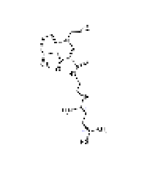 C=C1C=CC=C2C1C(=O)C(C(=O)NCCN/C(N)=C/C=C(\C)O)=CN2CC1CC1